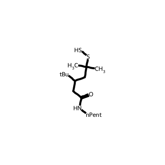 CCCCCNC(=O)CC(CC(C)(C)SS)C(C)(C)C